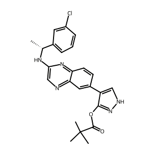 C[C@@H](Nc1cnc2cc(-c3c[nH]nc3OC(=O)C(C)(C)C)ccc2n1)c1cccc(Cl)c1